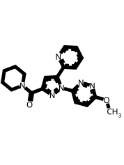 COc1ccc(-n2nc(C(=O)N3CCCCC3)cc2-c2ccccn2)nn1